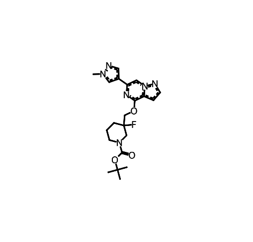 Cn1cc(-c2cn3nccc3c(OCC3(F)CCCN(C(=O)OC(C)(C)C)C3)n2)cn1